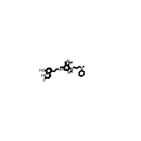 CN(CCCn1nnc2cc(CNCCc3ccc(O)c4[nH]c(=O)ccc34)c3cnn(C)c3c21)C1CCCCC1